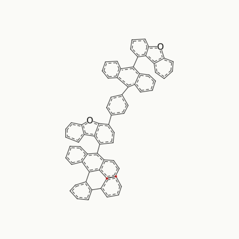 c1ccc(-c2ccccc2-c2c3ccccc3c(-c3ccc(-c4ccc(-c5c6ccccc6c(-c6cccc7oc8ccccc8c67)c6ccccc56)cc4)c4oc5ccccc5c34)c3ccccc23)cc1